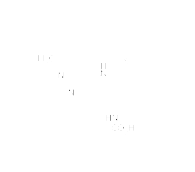 Cc1ccc2c(Nc3cc(CNC(=O)O)ccc3Sc3ccccc3)ccnc2n1